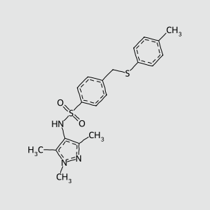 Cc1ccc(SCc2ccc(S(=O)(=O)Nc3c(C)nn(C)c3C)cc2)cc1